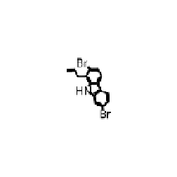 C=CCc1c(Br)ccc2c1[nH]c1cc(Br)ccc12